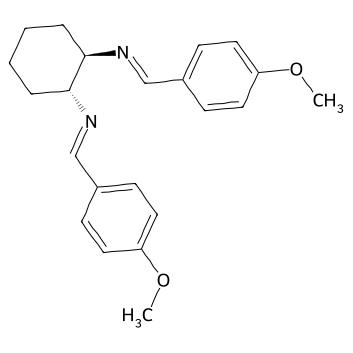 COc1ccc(C=N[C@@H]2CCCC[C@H]2N=Cc2ccc(OC)cc2)cc1